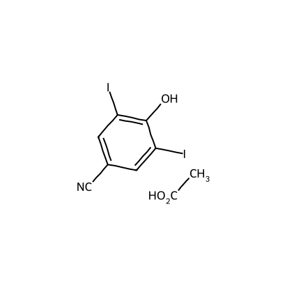 CC(=O)O.N#Cc1cc(I)c(O)c(I)c1